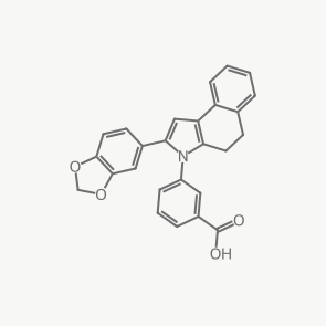 O=C(O)c1cccc(-n2c(-c3ccc4c(c3)OCO4)cc3c2CCc2ccccc2-3)c1